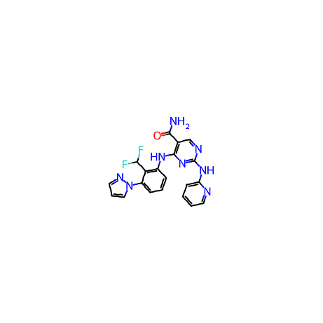 NC(=O)c1cnc(Nc2ccccn2)nc1Nc1cccc(-n2cccn2)c1C(F)F